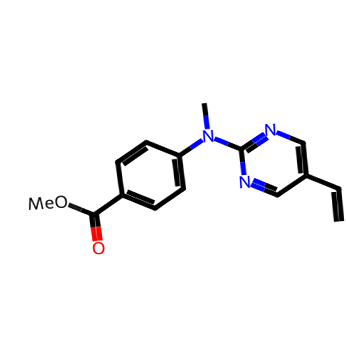 C=Cc1cnc(N(C)c2ccc(C(=O)OC)cc2)nc1